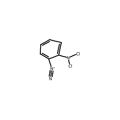 N#[N+]c1ccccc1N(Cl)Cl